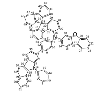 c1ccc(-n2c3cc(-c4ccc(N(c5ccc6c(c5)oc5ccccc56)c5cccc6c5-c5ccccc5C6(c5ccccc5)c5ccccc5)cc4)ccc3c3ccc4ccccc4c32)cc1